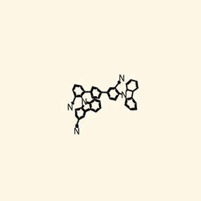 N#Cc1ccc2c(c1)c1ccccc1n2-c1c(C#N)cccc1-c1ccc(-c2ccc(N3c4ccccc4C4C=CC=CC43)c(C#N)c2)cc1